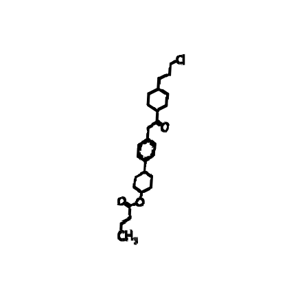 CCCC(=O)OC1CCC(c2ccc(CC(=O)C3CCC(CCCCl)CC3)cc2)CC1